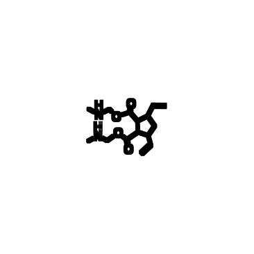 C=CC1CC(C=C)C(C(=O)OCNC)C1C(=O)OCNC